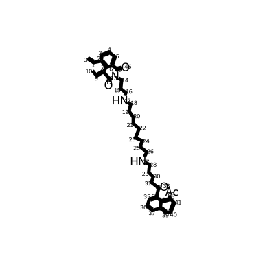 C=Cc1cccc2c1/C(=C\C)C(=O)N(CCCNCCCCCCCCCNCCCCC(=O)c1cccc3cccc(C(C)=O)c13)C2=O